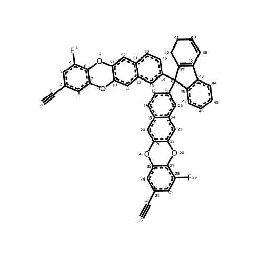 C#Cc1cc(F)c2c(c1)Oc1cc3cc(C4(c5ccc6cc7c(cc6c5)Oc5c(F)cc(C#C)cc5O7)C5=C(C=CCC5)c5ccccc54)ccc3cc1O2